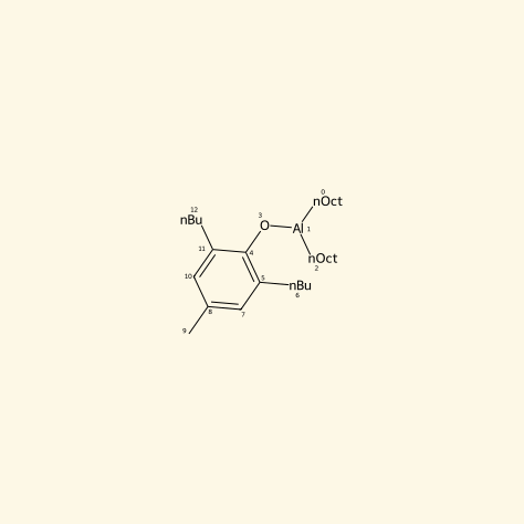 CCCCCCC[CH2][Al]([CH2]CCCCCCC)[O]c1c(CCCC)cc(C)cc1CCCC